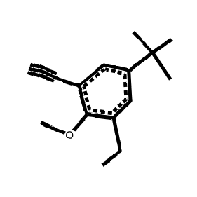 C#Cc1cc(C(C)(C)C)cc(CC)c1OC